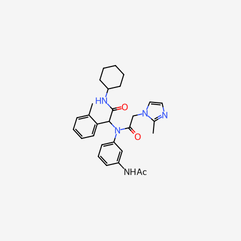 CC(=O)Nc1cccc(N(C(=O)Cn2ccnc2C)C(C(=O)NC2CCCCC2)c2ccccc2C)c1